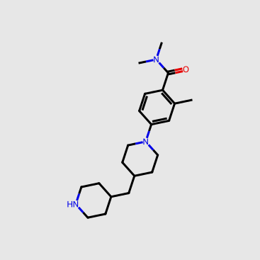 Cc1cc(N2CCC(CC3CCNCC3)CC2)ccc1C(=O)N(C)C